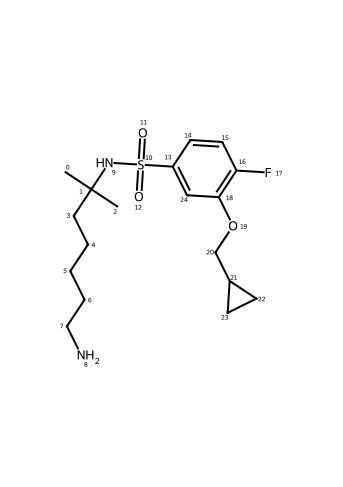 CC(C)(CCCCCN)NS(=O)(=O)c1ccc(F)c(OCC2CC2)c1